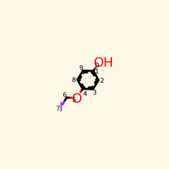 Oc1ccc(OCI)cc1